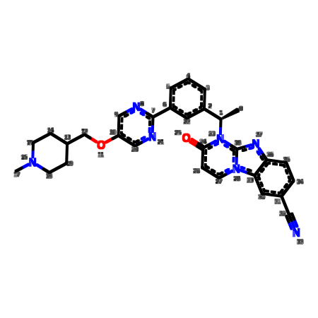 C[C@H](c1cccc(-c2ncc(OCC3CCN(C)CC3)cn2)c1)n1c(=O)ccn2c3cc(C#N)ccc3nc12